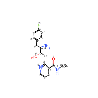 CC(C)(C)NC(=O)c1cccnc1C[C@H](O)[C@H](N)Cc1ccc(F)cc1